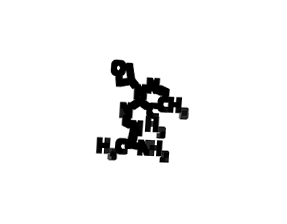 C/C=N\N(C1COC1)C(C)/N=C\N=C(/C)N